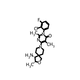 Cc1c(N2CCC3(CC2)CO[C@H](C)[C@@H]3N)nc(C)n(-c2cccc(F)c2Cl)c1=O